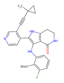 COc1c(F)cccc1Nc1c(-c2ccncc2C#CC2(C(F)(F)F)CC2)[nH]c2c1C(=O)NCC2